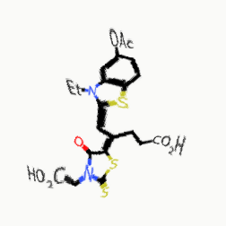 CCN1/C(=C/C(CCC(=O)O)=C2/SC(=S)N(CC(=O)O)C2=O)Sc2ccc(OC(C)=O)cc21